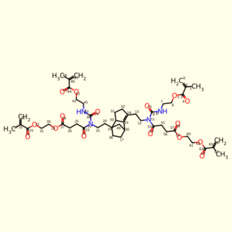 C=C(C)C(=O)OCCNC(=O)N(CCC1=C2C3CCC(CCN(C(=O)CCC(=O)OCCOC(=O)C(=C)C)C(=O)NCCOC(=O)C(=C)C)(C3)C2CC1)C(=O)CCC(=O)OCCOC(=O)C(=C)C